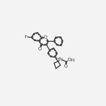 O=C(O)NC1(c2ccc(-c3c(-c4ccccc4)oc4ccc(F)cc4c3=O)cc2)CCC1